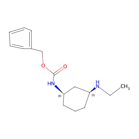 CCN[C@H]1CCC[C@@H](NC(=O)OCc2ccccc2)C1